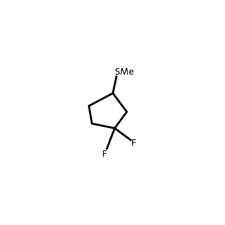 CSC1CCC(F)(F)C1